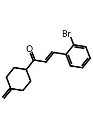 C=C1CCC(C(=O)/C=C/c2ccccc2Br)CC1